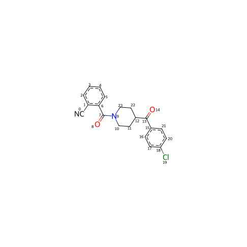 N#Cc1ccccc1C(=O)N1CCC(C(=O)c2ccc(Cl)cc2)CC1